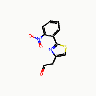 O=CCc1csc(-c2ccccc2[N+](=O)[O-])n1